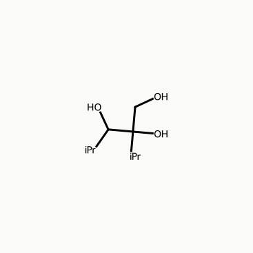 CC(C)C(O)C(O)(CO)C(C)C